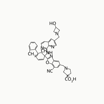 Cc1ccccc1C1=CC=CC(Nc2nccc3cc(CN4CC(O)C4)cnc23)(c2nc3cc(CN4CC[C@@H](C(=O)O)C4)cc(C#N)c3o2)C1C